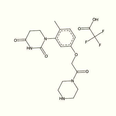 Cc1ccc(OCC(=O)N2CCNCC2)cc1N1CCC(=O)NC1=O.O=C(O)C(F)(F)F